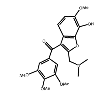 COc1cc(C(=O)c2c(CN(C)C)oc3c(O)c(OC)ccc23)cc(OC)c1OC